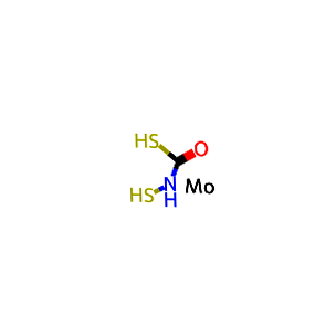 O=C(S)NS.[Mo]